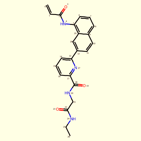 C=CC(=O)Nc1cccc2ccc(-c3cccc(C(=O)NCC(=O)NCC)n3)cc12